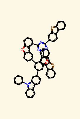 c1ccc(-n2c3ccccc3c3ccc(-c4cc(-c5ccc6oc7cccc(-c8nc(-c9ccc%10c(c9)sc9ccccc9%10)nc(-c9ccc%10c(c9)sc9ccccc9%10)n8)c7c6c5)c5c(c4)oc4ccccc45)cc32)cc1